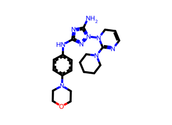 Nc1nc(Nc2ccc(N3CCOCC3)cc2)nn1N1CC=CN=C1N1CCCCC1